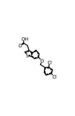 O=C(O)Cc1csc2cc(OCc3ccc(Cl)cc3Cl)ccc12